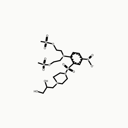 CS(=O)(=O)OCCN(CCOS(C)(=O)=O)c1ccc([N+](=O)[O-])cc1S(=O)(=O)N1CCN(CC(O)CO)CC1